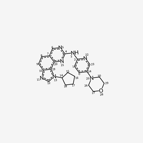 c1cc(Nc2ncc3ccc4ncn(C5CCCC5)c4c3n2)ncc1N1CCOCC1